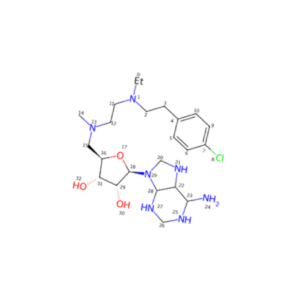 CCN(CCc1ccc(Cl)cc1)CCN(C)C[C@H]1O[C@@H](N2CNC3C(N)NCNC32)[C@H](O)[C@@H]1O